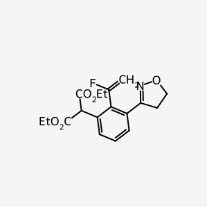 C=C(F)c1c(C2=NOCC2)cccc1C(C(=O)OCC)C(=O)OCC